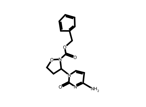 Nc1ccn(C2CCON2C(=O)OCc2ccccc2)c(=O)n1